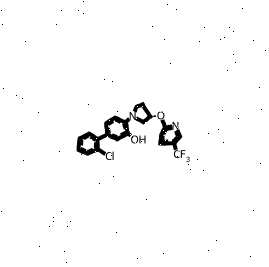 Oc1cc(-c2ccccc2Cl)ccc1N1CC[C@H](Oc2ccc(C(F)(F)F)cn2)C1